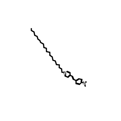 CCCCCCCCCCCCCCCCCCCCCC[n+]1ccc(/C=C/c2ccc(N(C)C)cc2)cc1